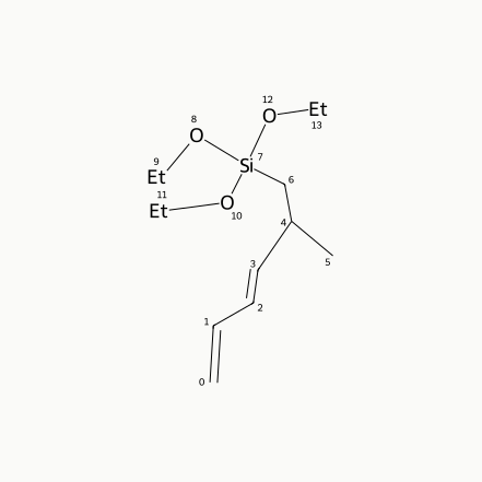 C=CC=CC(C)C[Si](OCC)(OCC)OCC